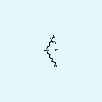 CCOC(=O)CCC[N+](C)(C)CCCCCCBr.[Br-]